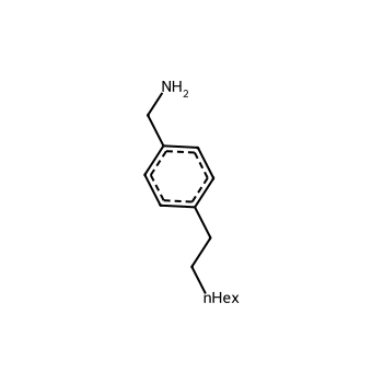 CCC[CH]CCCCc1ccc(CN)cc1